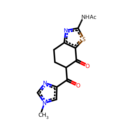 CC(=O)Nc1nc2c(s1)C(=O)C(C(=O)c1cn(C)cn1)CC2